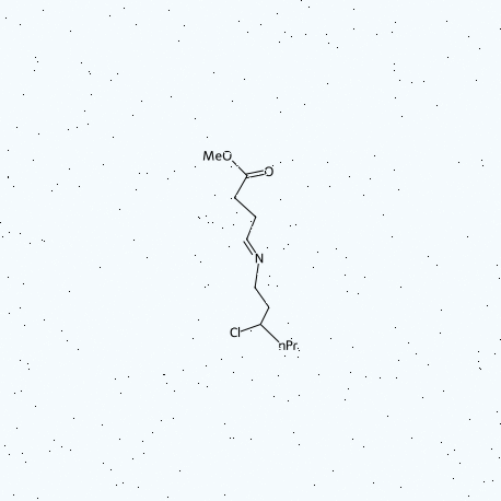 CCCC(Cl)CCN=CCCC(=O)OC